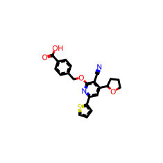 N#Cc1c(C2CCCO2)cc(-c2cccs2)nc1OCc1ccc(C(=O)O)cc1